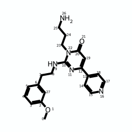 COc1cccc(CCNc2nc(-c3ccncc3)cc(=O)n2CCCN)c1